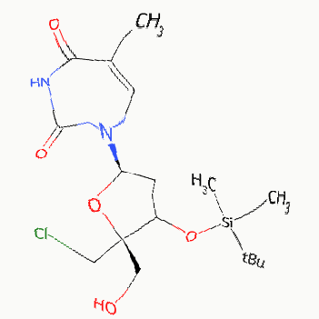 Cc1cn([C@H]2CC(O[Si](C)(C)C(C)(C)C)[C@](CO)(CCl)O2)c(=O)[nH]c1=O